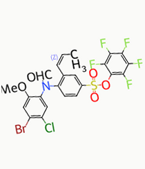 C/C=C\c1cc(S(=O)(=O)Oc2c(F)c(F)c(F)c(F)c2F)ccc1N(C=O)c1cc(Cl)c(Br)cc1OC